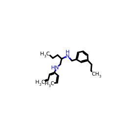 C=C/C=C(\C=C/C)NCC(CCC)NCc1cccc(CCC)c1